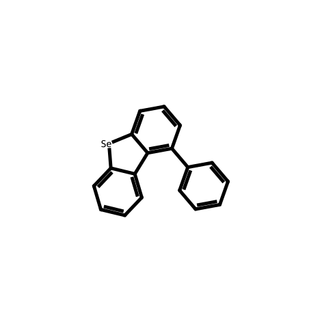 c1ccc(-c2cccc3[se]c4ccccc4c23)cc1